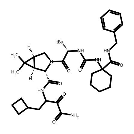 CC(C)(C)[C@H](NC(=O)NC1(C(=O)NCc2ccccc2)CCCCC1)C(=O)N1C[C@H]2[C@@H]([C@H]1C(=O)NC(CC1CCC1)C(=O)C(N)=O)C2(C)C